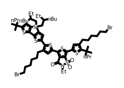 CCCCC(CC)C[Si]1(CC(CC)CCCC)c2cc(-c3sc(-c4sc(-c5cc(CCCCCCBr)c(C(C)(C)CCC)s5)c5c4C(=O)N(CC)S5(=O)=O)cc3CCCCCCBr)sc2-c2sc(C(C)(C)CCC)cc21